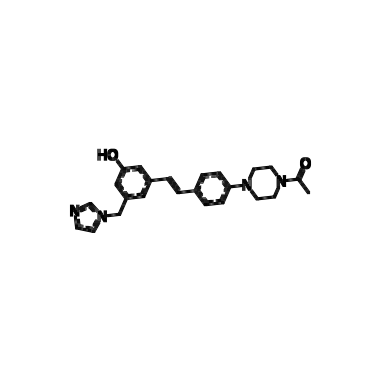 CC(=O)N1CCN(c2ccc(/C=C/c3cc(O)cc(Cn4ccnc4)c3)cc2)CC1